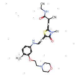 CCn1c(=C=C(C#N)C(=O)NCC#N)sc(=C=CNc2ccc(C)c(OCCN3CCOCC3)c2)c1=O